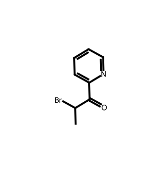 CC(Br)C(=O)c1ccccn1